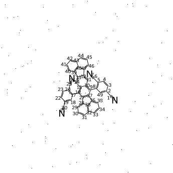 N#Cc1ccc(C#N)c(-c2c3cc4c(cc3c(-c3cc(C#N)ccc3C#N)c3c5cccc6cccc(c23)c65)c2cccc3cccc4c32)c1